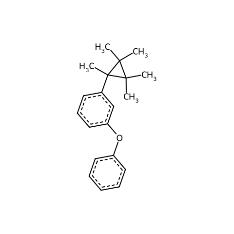 CC1(C)C(C)(C)C1(C)c1cccc(Oc2ccccc2)c1